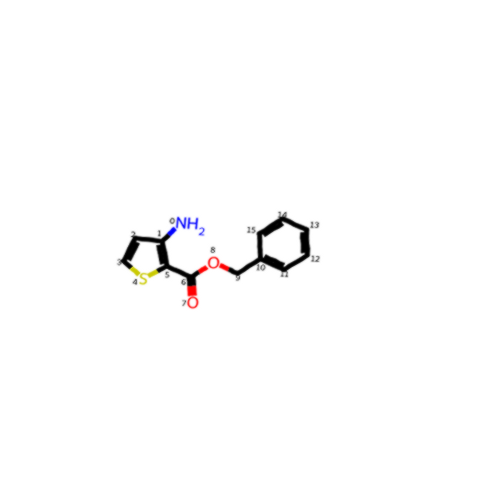 Nc1ccsc1C(=O)OCc1ccccc1